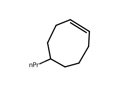 CCCC1CC/C=C\CCC1